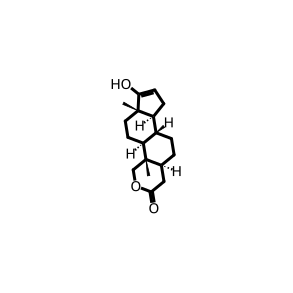 C[C@]12COC(=O)C[C@@H]1CC[C@@H]1[C@@H]2CC[C@]2(C)C(O)=CC[C@@H]12